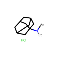 CCN(C(C)=O)C12CC3CC(CC(C3)C1)C2.Cl